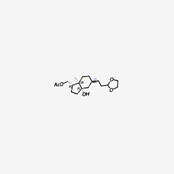 CC(=O)OC[C@H]1CC[C@]2(O)C/C(=C\CC3OCCO3)CC[C@]12C